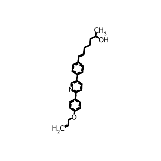 C=CCOc1ccc(-c2ccc(-c3ccc(C=CCCCC(C)O)cc3)cn2)cc1